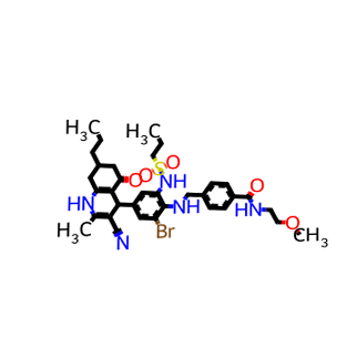 CCCC1CC(=O)C2=C(C1)NC(C)=C(C#N)C2c1cc(Br)c(NCc2ccc(C(=O)NCCOC)cc2)c(NS(=O)(=O)CCC)c1